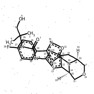 CC(C)(CO)NC(=O)Nc1nc2c(s1)[C@@H]1COC[C@H](C2)N1c1nc(-c2ccc(F)cc2)no1